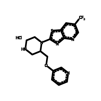 Cl.FC(F)(F)c1cnc2nc(N3CCNCC3COc3cccnc3)sc2c1